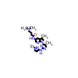 CCn1ccc(Nc2ncc(C)c(-n3cc(C)c4cc(NC(=O)/C=C/CN(C)C)cnc43)n2)n1